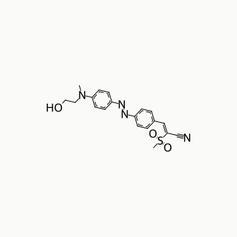 CN(CCO)c1ccc(N=Nc2ccc(C=C(C#N)S(C)(=O)=O)cc2)cc1